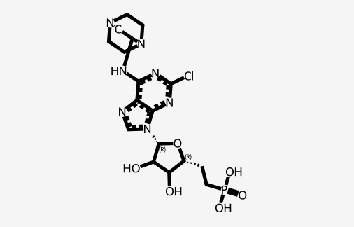 O=P(O)(O)CC[C@H]1O[C@@H](n2cnc3c(NC4CN5CCN4CC5)nc(Cl)nc32)C(O)C1O